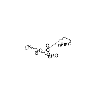 CCCCC/C=C\C/C=C\CCCCCCCC(=O)OCC(COC=O)COC(=O)CCCN1CCCC1